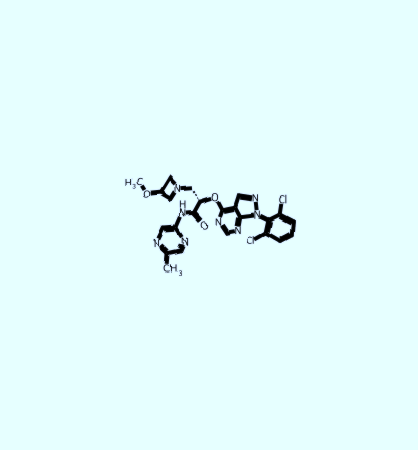 COC1CN(C[C@H](Oc2ncnc3c2cnn3-c2c(Cl)cccc2Cl)C(=O)Nc2cnc(C)cn2)C1